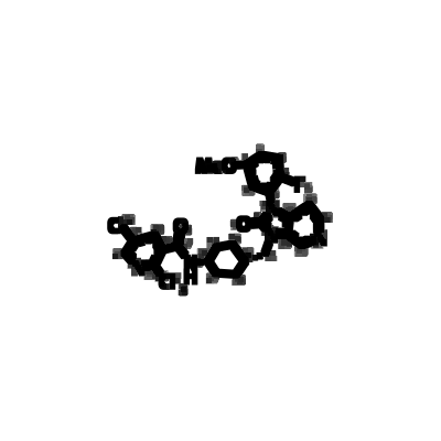 COc1ccc(F)c(-n2c(=O)n(C[C@H]3CC[C@H](NC(=O)c4cc(Cl)cnc4C(F)(F)F)CC3)c3cnccc32)c1